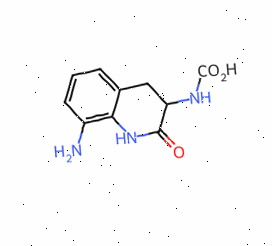 Nc1cccc2c1NC(=O)C(NC(=O)O)C2